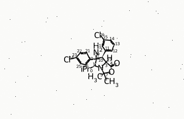 CC(C)[C@@H]1N2[C@@H](C(=O)OC2(C)C)[C@H](c2cccc(Cl)c2)[C@@]1(N)c1ccc(Cl)cc1